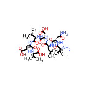 CC(C)C[C@H](NC(=O)[C@H](CC(N)=O)NC(=O)[C@@H](N)C(C)C)C(=O)N[C@@H](CC(=O)O)C(=O)N[C@H](C(=O)N[C@@H](CCC(=O)O)C(=O)N[C@H](C(=O)O)C(C)C)C(C)C